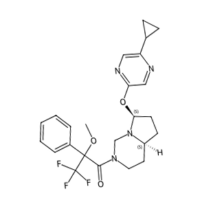 COC(C(=O)N1CC[C@@H]2CC[C@H](Oc3cnc(C4CC4)cn3)N2C1)(c1ccccc1)C(F)(F)F